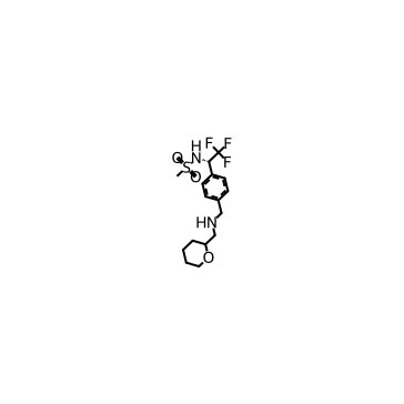 CS(=O)(=O)N[C@@H](c1ccc(CNCC2CCCCO2)cc1)C(F)(F)F